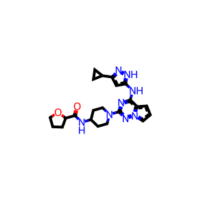 O=C(NC1CCN(c2nc(Nc3cc(C4CC4)n[nH]3)c3cccn3n2)CC1)C1CCCO1